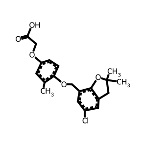 Cc1cc(OCC(=O)O)ccc1OCc1cc(Cl)cc2c1OC(C)(C)C2